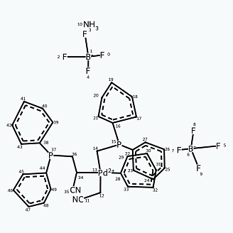 F[B-](F)(F)F.F[B-](F)(F)F.N.N#C[CH2][Pd+2]([CH2]P(c1ccccc1)c1ccccc1)([c]1ccccc1)[CH](C#N)CP(c1ccccc1)c1ccccc1